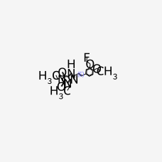 CCn1c(=O)c2[nH]c(/C=C/c3ccc(OC)c(OCF)c3)nc2n(CC)c1=O